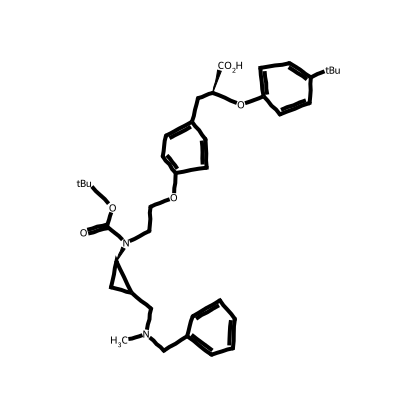 CN(Cc1ccccc1)CC1C[C@H]1N(CCOc1ccc(C[C@H](Oc2ccc(C(C)(C)C)cc2)C(=O)O)cc1)C(=O)OC(C)(C)C